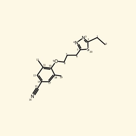 CCc1nnc(CCCOc2c(C)cc(C#N)cc2C)s1